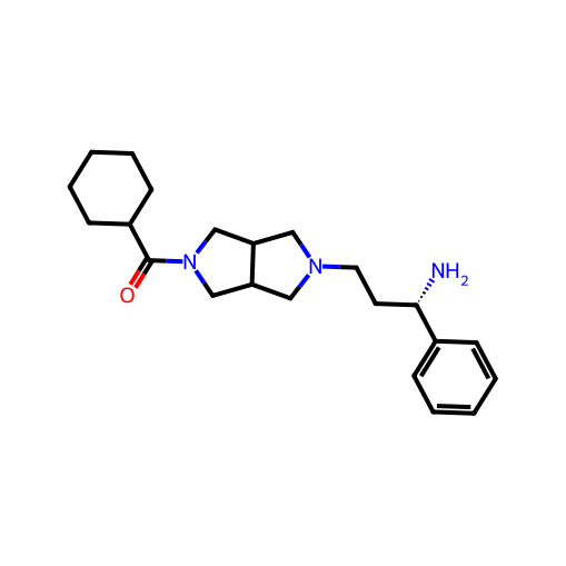 N[C@@H](CCN1CC2CN(C(=O)C3CCCCC3)CC2C1)c1ccccc1